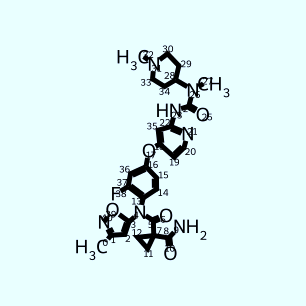 Cc1cc(N(C(=O)C2(C(N)=O)CC2)c2ccc(Oc3ccnc(NC(=O)N(C)C4CCN(C)CC4)c3)cc2F)on1